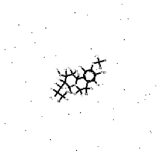 [2H]OC1([2H])C([2H])([2H])C2([2H])c3c([2H])c(OC([2H])([2H])[2H])c(OC)c([2H])c3C([2H])([2H])C([2H])([2H])N2C([2H])([2H])C1([2H])C([2H])([2H])C([2H])(C)C([2H])([2H])[2H]